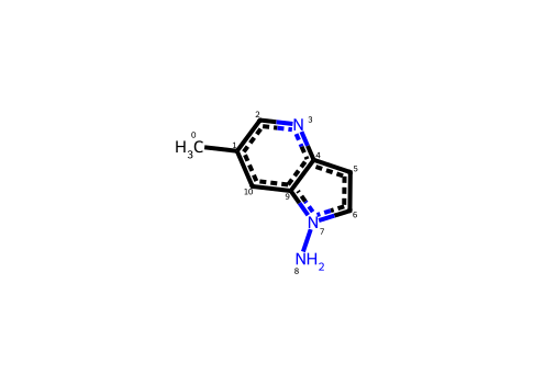 Cc1cnc2ccn(N)c2c1